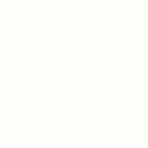 CC(C)(C)c1ccc(C2(c3ccc(C(C)(C)C)cc3)c3ccccc3-c3c(N(c4ccc(-c5ccccc5-c5cccc6c5C(C)(C)c5ccccc5-6)cc4)c4ccc5c(c4)C(C)(c4ccccc4)c4ccccc4-5)cccc32)cc1